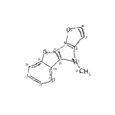 Cn1c2ccoc2c2oc3ccccc3c21